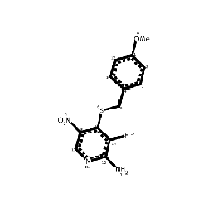 COc1ccc(CSc2c([N+](=O)[O-])cnc(N)c2F)cc1